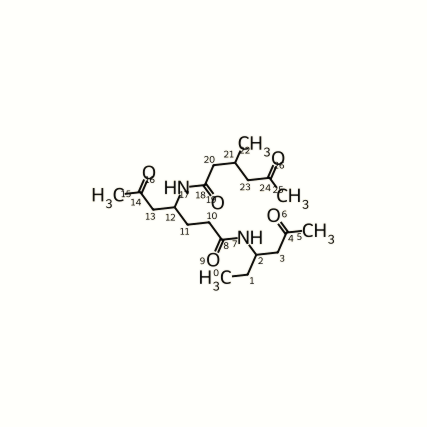 CCC(CC(C)=O)NC(=O)CCC(CC(C)=O)NC(=O)CC(C)CC(C)=O